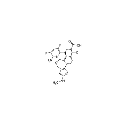 CNc1cc2c(cn1)-c1ccc3c(=O)c(C(=O)O)cn(-c4nc(N)c(F)cc4F)c3c1COC2